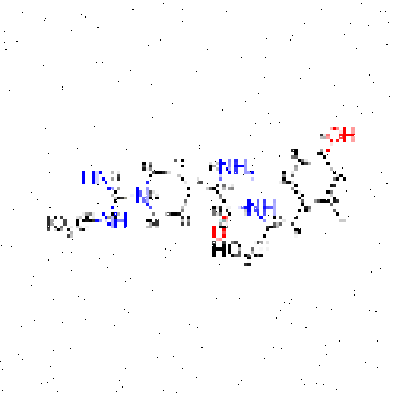 Cc1cc(O)cc(C)c1CC(NC(=O)C(N)C1CCN(C(=N)NC(=O)O)CC1)C(=O)O